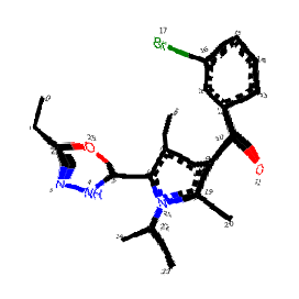 CCC1=NNC(c2c(C)c(C(=O)c3cccc(Br)c3)c(C)n2C(C)C)O1